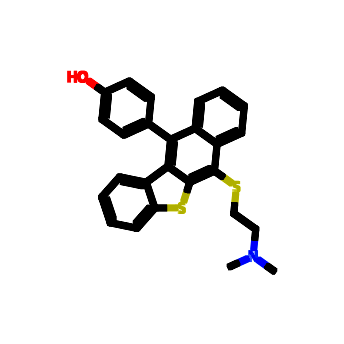 CN(C)CCSc1c2ccccc2c(-c2ccc(O)cc2)c2c1sc1ccccc12